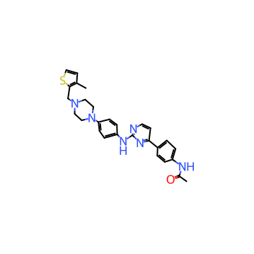 CC(=O)Nc1ccc(-c2ccnc(Nc3ccc(N4CCN(Cc5sccc5C)CC4)cc3)n2)cc1